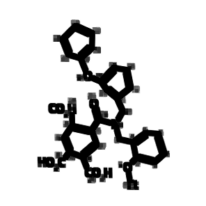 CCOc1ccccc1CN(Cc1cccc(Oc2ccccc2)c1)C(=O)c1cc(C(=O)O)c(C(=O)O)cc1C(=O)O